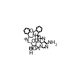 CN(C[C@H]1O[C@H]2N3C=NC4=C(N)N=CN(C43)C(C)(C)[C@@]2(O)[C@@H]1O)C(CN1C(=O)c2ccccc2C1=O)c1ccccc1